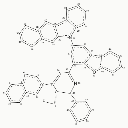 CC[C@@H]1C(c2ccc3ccccc3c2)=NC(c2cc(-n3c4ccccc4c4cc5ccccc5cc43)cc3c2oc2ccccc23)=NC1c1ccccc1